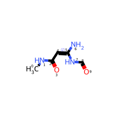 CNC(=O)/C=C(/N)NC=O